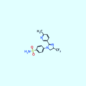 Cc1ccc(C2=NC(C(F)(F)F)CN2c2ccc(S(N)(=O)=O)cc2)cn1